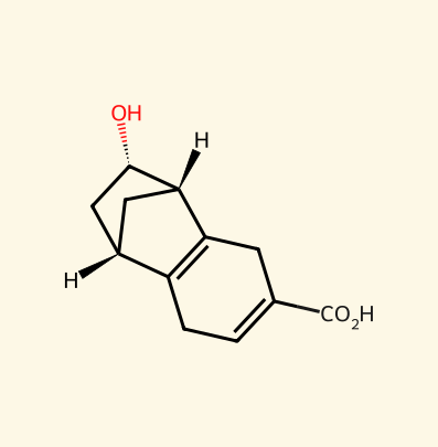 O=C(O)C1=CCC2=C(C1)[C@@H]1C[C@H]2C[C@@H]1O